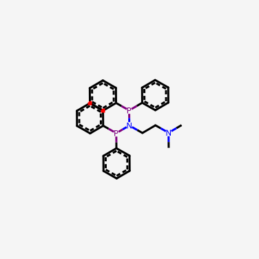 CN(C)CCN(P(c1ccccc1)c1ccccc1)P(c1ccccc1)c1ccccc1